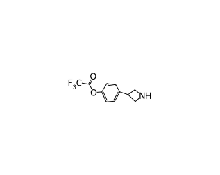 O=C(Oc1ccc(C2CNC2)cc1)C(F)(F)F